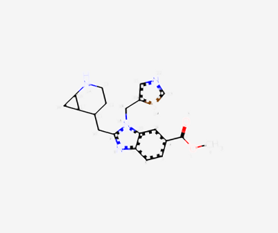 COC(=O)c1ccc2nc(CC3CCNC4CC34)n(Cc3cncs3)c2c1